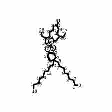 CCCCCCCCCC1(CCCCCCCCC)C=CC(OP(=O)(CC(CC)CCCC)OCC(CC)CCCC)=CC1